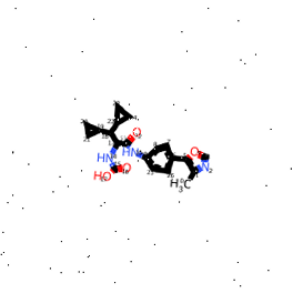 Cc1ncoc1-c1ccc(NC(=O)C(NC(=O)O)C(C2CC2)C2CC2)cc1